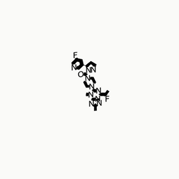 C=N/C(=N\C(=C(/C)F)n1cnc(C)n1)N1CCN(C(=O)N2N=CC[C@H]2c2cncc(F)c2)CC1